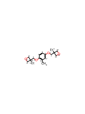 CCC1(COc2ccc(OCC3(CC)COC3)c(C)c2)COC1